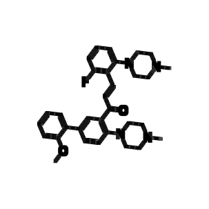 COc1ccccc1-c1ccc(N2CCN(C)CC2)c(C(=O)/C=C/c2c(F)cccc2N2CCN(C)CC2)c1